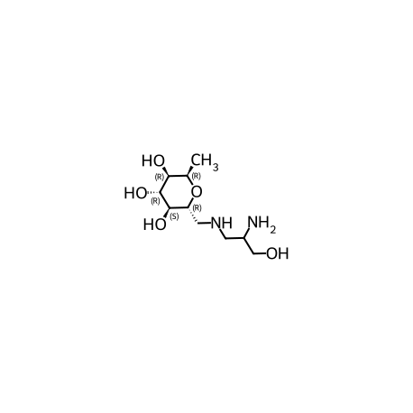 C[C@H]1O[C@H](CNCC(N)CO)[C@@H](O)[C@H](O)[C@H]1O